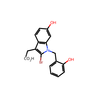 O=C(O)Cc1c(Br)n(Cc2ccccc2O)c2cc(O)ccc12